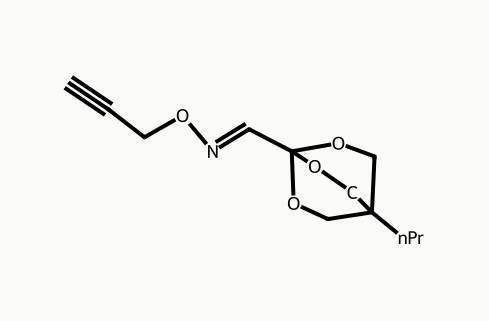 C#CCON=CC12OCC(CCC)(CO1)CO2